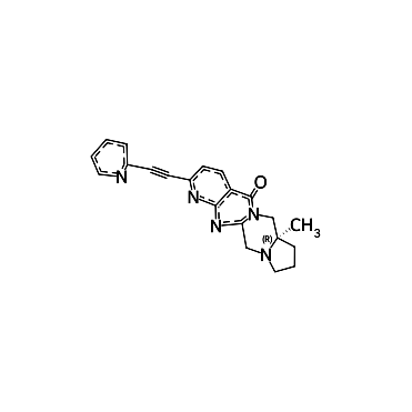 C[C@]12CCCN1Cc1nc3nc(C#Cc4ccccn4)ccc3c(=O)n1C2